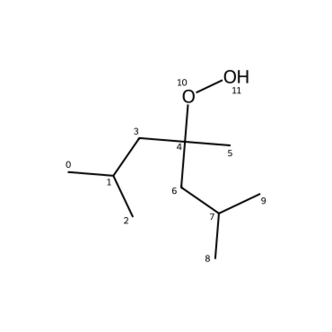 CC(C)CC(C)(CC(C)C)OO